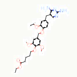 CCOC(=O)CCCCOc1c(OC)cc(COc2ccc(Cc3cnc(N)nc3N)cc2OCC)cc1OC